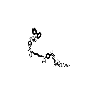 COCC(=O)N(C)CCCN(C)C(=O)c1ccc(NCCCCCC(=O)N(C)CCN2CCC(OC(=O)Nc3ccccc3-c3ccccc3)CC2)cc1